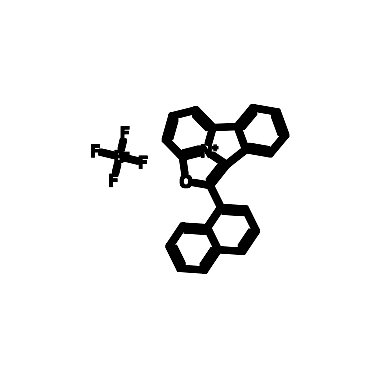 F[B-](F)(F)F.c1ccc2c(c1)-c1cccc3oc(-c4cccc5ccccc45)c-2[n+]13